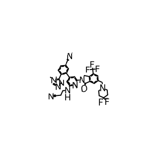 Cn1cnnc1-c1ccc(C#N)cc1-c1cc(NCCC#N)nc(N2Cc3c(cc(CN4CCC(F)(F)CC4)cc3C(F)(F)F)C2=O)c1